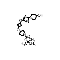 CC(C)(C)OC(=O)N1CCC(OC2CC(Oc3cnc(N4CCC(O)CC4)nc3)C2)CC1